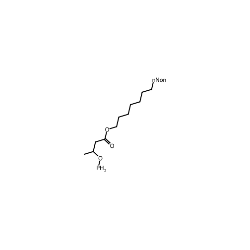 CCCCCCCCCCCCCCCCOC(=O)CC(C)OP